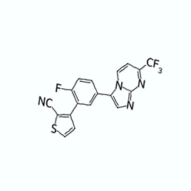 N#Cc1sccc1-c1cc(-c2cnc3nc(C(F)(F)F)ccn23)ccc1F